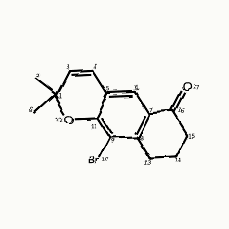 CC1(C)C=Cc2cc3c(c(Br)c2O1)CCCC3=O